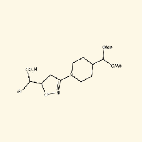 COC(OC)C1CCN(C2=NOC(C(C(=O)O)C(C)C)C2)CC1